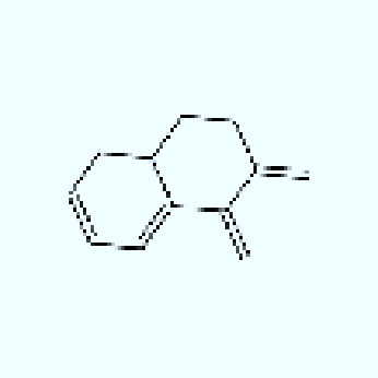 C=C1CCC2CC=CC=C2C1=C